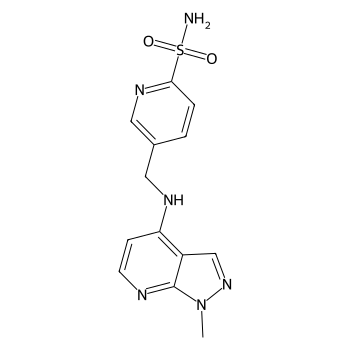 Cn1ncc2c(NCc3ccc(S(N)(=O)=O)nc3)ccnc21